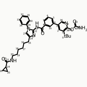 CC(C)(C)c1cc(-c2cccc(C(=O)Nc3nc(CCCCCCNC(=O)C4CC4)cn3-c3ccccc3)c2)cnc1OC(N)=O